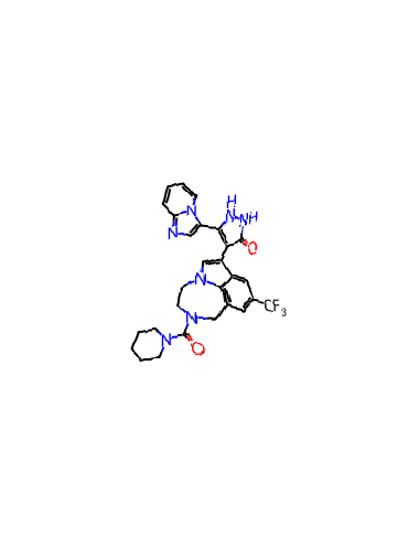 O=C(N1CCCCC1)N1CCn2cc(-c3c(-c4cnc5ccccn45)[nH][nH]c3=O)c3cc(C(F)(F)F)cc(c32)C1